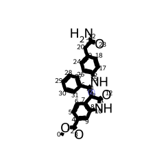 COC(=O)c1ccc2c(c1)NC(=O)/C2=C(\Nc1ccc(CC(N)=O)cc1)c1ccccc1